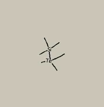 C[Si](C)(C)[Te](C)(C)C